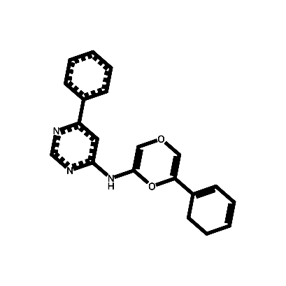 C1=CCCC(C2=COC=C(Nc3cc(-c4ccccc4)ncn3)O2)=C1